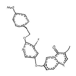 COc1ccc(COc2ncc(Oc3ccc4ncc(C)c(=O)n4c3)cc2F)cc1